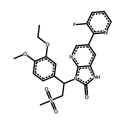 CCOc1cc(C(CS(C)(=O)=O)n2c(=O)[nH]c3cc(-c4ncccc4F)cnc32)ccc1OC